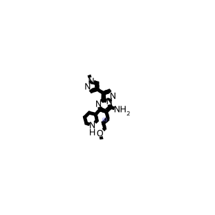 COC/C=C/c1c(C2CCCNC2)nc2c(-c3cnn(C)c3)cnn2c1N